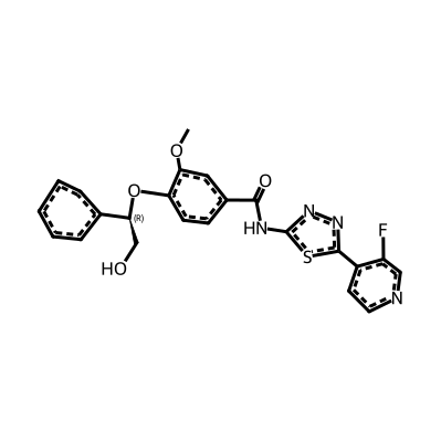 COc1cc(C(=O)Nc2nnc(-c3ccncc3F)s2)ccc1O[C@@H](CO)c1ccccc1